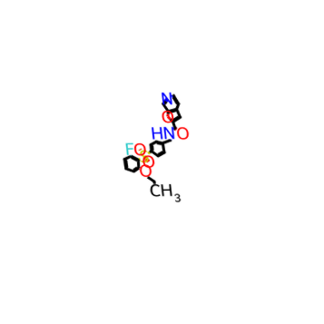 CCCOc1cccc(F)c1S(=O)(=O)c1ccc(CNC(=O)c2cc3ccncc3o2)cc1